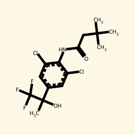 CC(C)(C)CC(=O)Nc1c(Cl)cc(C(C)(O)C(F)(F)F)cc1Cl